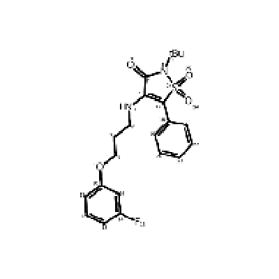 CC(C)(C)N1C(=O)C(NCCCOc2cccc(F)c2)=C(c2ccccc2)S1(=O)=O